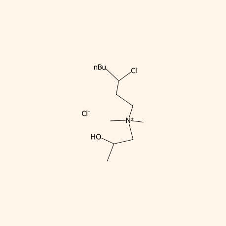 CCCCC(Cl)CC[N+](C)(C)CC(C)O.[Cl-]